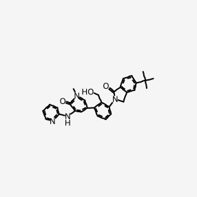 Cn1cc(-c2cccc(N3Cc4cc(C(C)(C)C)ccc4C3=O)c2CO)cc(Nc2ccccn2)c1=O